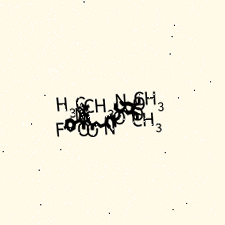 COc1cc2nccc(Oc3ccc(CCC(=O)c4cn(C(C)C)nc(-c5ccc(F)cc5)c4=O)nc3)c2cc1OC